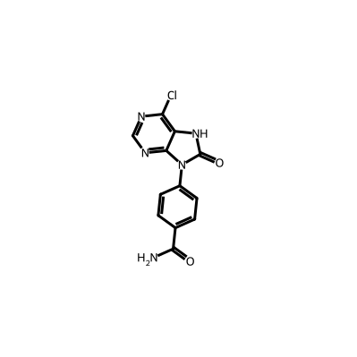 NC(=O)c1ccc(-n2c(=O)[nH]c3c(Cl)ncnc32)cc1